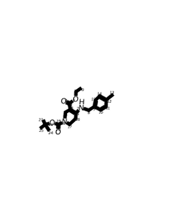 CCOC(=O)C1=C(NCc2ccc(C)cc2)CCN(C(=O)OC(C)(C)C)C1